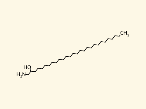 CCCCCCCCCCCCCCCCCCCCCCCCCCC(O)CN